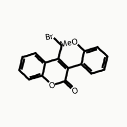 COc1ccccc1-c1c(CBr)c2ccccc2oc1=O